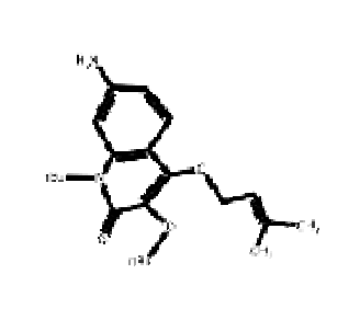 CCCCOc1c(OCC=C(C)C)c2ccc(N)cc2n(CCCC)c1=O